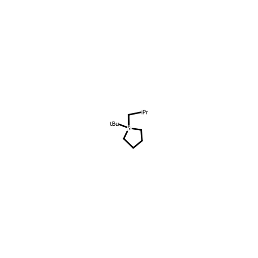 CC(C)C[Si]1(C(C)(C)C)CCCC1